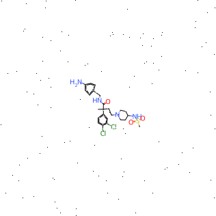 CC(CCN1CCC(NS(C)(=O)=O)CC1)(C(=O)NCc1ccc(N)cc1)c1ccc(Cl)c(Cl)c1